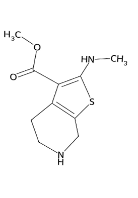 CNc1sc2c(c1C(=O)OC)CCNC2